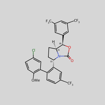 COc1ccc(Cl)cc1-c1ccc(C(F)(F)F)cc1[C@@H]1CC[C@H]2[C@@H](c3cc(C(F)(F)F)cc(C(F)(F)F)c3)OC(=O)N12